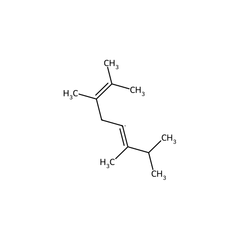 CC(C)=C(C)C/[C]=C(\C)C(C)C